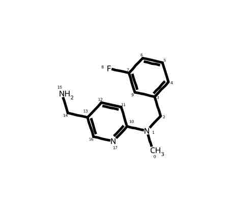 CN(Cc1cccc(F)c1)c1ccc(CN)cn1